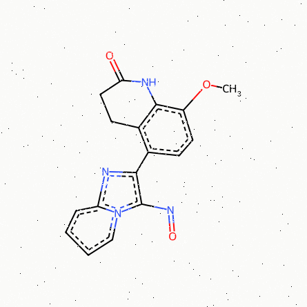 COc1ccc(-c2nc3ccccn3c2N=O)c2c1NC(=O)CC2